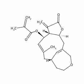 C=C(C)C(=O)O[C@@H]1/C=C(\C)C[C@@H]2C=C(COCC2)C[C@@H]2OC(=O)C(=C)[C@H]21